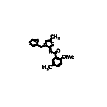 COc1ccc(C)cc1C(=O)/N=c1\sc(C)cn1Cc1cscn1